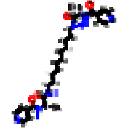 CCC(C)[C@H](NC(=O)c1ccncc1)C(=O)NCCCCCCCCCCCNC(=O)[C@@H](NC(=O)c1ccncc1)C(C)CC